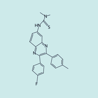 Cc1ccc(-c2nc3cc(NC(=S)N(C)C)ccc3nc2-c2ccc(F)cc2)cc1